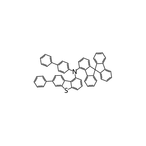 c1ccc(-c2ccc(N(c3cccc4c3-c3ccccc3C43c4ccccc4-c4ccccc43)c3cccc4sc5cc(-c6ccccc6)ccc5c34)cc2)cc1